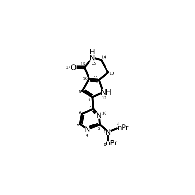 CCCN(CCC)c1nccc(-c2cc3c([nH]2)CCNC3=O)n1